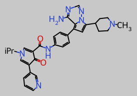 CC(C)n1cc(C(=O)Nc2ccc(-c3cc(C4CCN(C)CC4)n4ncnc(N)c34)cc2)c(=O)c(-c2cccnc2)c1